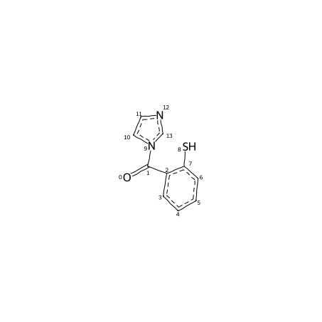 O=C(c1ccccc1S)n1ccnc1